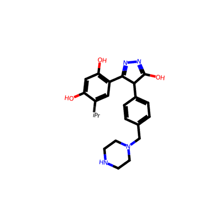 CC(C)c1cc(C2=NN=C(O)C2c2ccc(CN3CCNCC3)cc2)c(O)cc1O